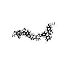 Cc1ccc([C@@H]2OCc3cc(O)ccc3[C@@H]2c2ccc(N3CCC(CN4CCN(c5ccc6c(c5)CN([C@H]5CCC(=O)NC5=O)C6=O)CC4)CC3)cc2)cc1